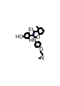 CC/C(=C(/C(=O)Nc1ccc(OCCN(C)C)cc1)c1ccc(O)cc1)c1ccccc1C